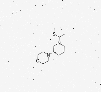 CSC(C)N1CCC[C@H](N2CCOCC2)C1